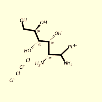 N[CH]([Pt+4])[C@H](N)[C@@H](O)[C@H](O)[C@H](O)CO.[Cl-].[Cl-].[Cl-].[Cl-]